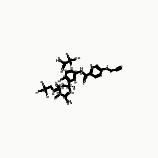 C#CCOc1ccc(C(=O)Nc2ccc(F)c([C@]3(C)C[S@@](=O)(=NCC(F)(F)F)N(C)C(N)=N3)n2)nc1.O=C(O)C(F)(F)F